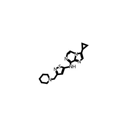 c1cn2c(C3CC3)cnc2c(Nc2cc(CN3CCCCC3)ns2)n1